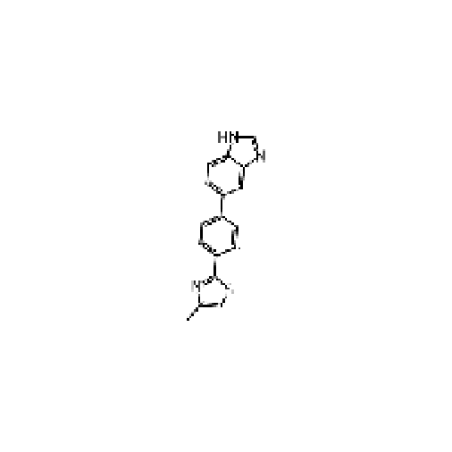 Cc1csc(-c2[c]cc(-c3ccc4[nH]cnc4c3)cc2)n1